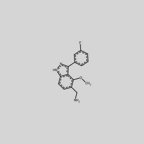 COc1c(CN)ccc2[nH]nc(-c3cccc(F)c3)c12